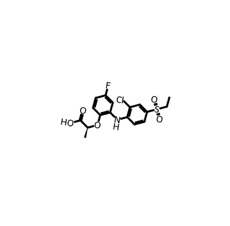 CCS(=O)(=O)c1ccc(Nc2cc(F)ccc2O[C@@H](C)C(=O)O)c(Cl)c1